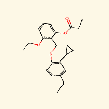 CCOc1cccc(OC(=O)CC)c1COc1ccc(CC)cc1C1CC1